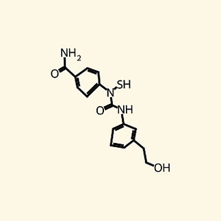 NC(=O)c1ccc(N(S)C(=O)Nc2cccc(CCO)c2)cc1